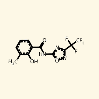 Cc1cccc(C(=O)Nc2nc(C(F)(F)C(F)(F)F)no2)c1O